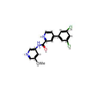 COc1cncc(NC(=O)c2cc(-c3cc(Cl)cc(Cl)c3)ccn2)c1